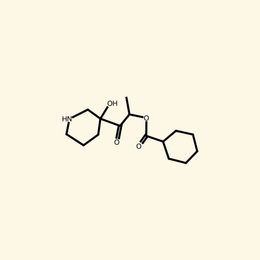 CC(OC(=O)C1CCCCC1)C(=O)C1(O)CCCNC1